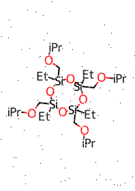 CC[Si]1(COC(C)C)O[Si](CC)(COC(C)C)O[Si](CC)(COC(C)C)O[Si](CC)(COC(C)C)O1